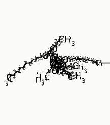 CCCCCCCCCCCCCCOCC(COC)(COCCCC)COCC(COCCCC)(COCCCCCCCCCCCCCC)COP(=O)(OCCCC)OCCCC